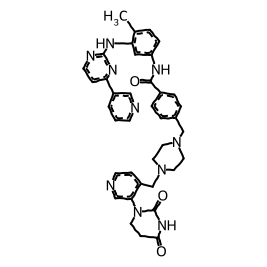 Cc1ccc(NC(=O)c2ccc(CN3CCN(Cc4ccncc4N4CCC(=O)NC4=O)CC3)cc2)cc1Nc1nccc(-c2cccnc2)n1